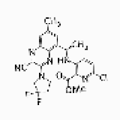 COC(=O)c1nc(Cl)ccc1N[C@H](C)c1cc(C)cc2nc(C#N)c(N3CCC(F)(F)C3)nc12